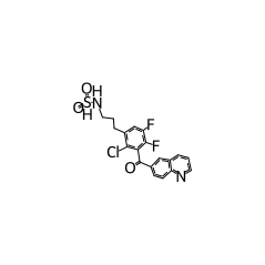 O=C(c1ccc2ncccc2c1)c1c(F)c(F)cc(CCCN[SH](=O)=O)c1Cl